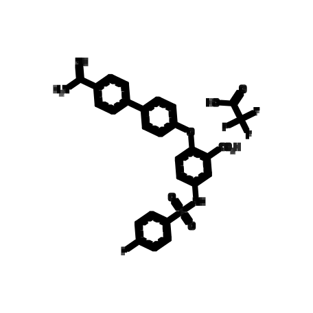 N=C(N)c1ccc(-c2ccc(Oc3ccc(NS(=O)(=O)c4ccc(F)cc4)cc3C(=O)O)cc2)cc1.O=C(O)C(F)(F)F